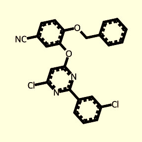 N#Cc1ccc(OCc2ccccc2)c(Oc2cc(Cl)nc(-c3cccc(Cl)c3)n2)c1